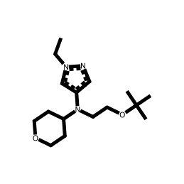 CCn1cc(N(CCOC(C)(C)C)C2CCOCC2)cn1